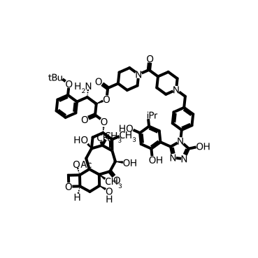 CC(=O)O[C@@]12CO[C@@H]1C[C@H](O)[C@@]1(C)C(=O)[C@H](O)C3=C(C)[C@@H](OC(=O)[C@H](OC(=O)C4CCN(C(=O)C5CCN(Cc6ccc(-n7c(O)nnc7-c7cc(C(C)C)c(O)cc7O)cc6)CC5)CC4)[C@@H](N)c4ccccc4OC(C)(C)C)C[C@@](O)(CC12)C3(C)C